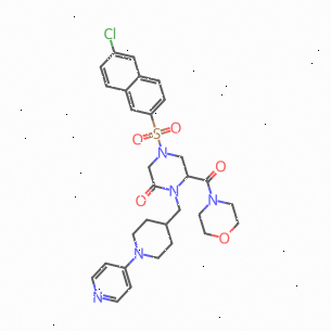 O=C(C1CN(S(=O)(=O)c2ccc3cc(Cl)ccc3c2)CC(=O)N1CC1CCN(c2ccncc2)CC1)N1CCOCC1